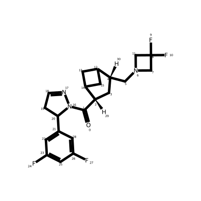 O=C([C@H]1C[C@@H](CN2CC(F)(F)C2)C2CC1C2)N1N=CCC1c1cc(F)cc(F)c1